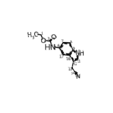 CCOC(=O)Nc1ccc2[nH]cc(CC#N)c2c1